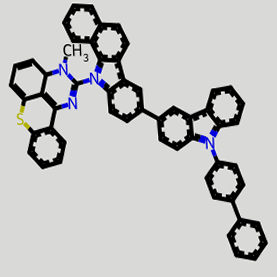 CN1C(n2c3ccc(-c4ccc5c(c4)c4ccccc4n5-c4ccc(-c5ccccc5)cc4)cc3c3ccc4ccccc4c32)=NC2=C3C(=CC=CC31)Sc1ccccc12